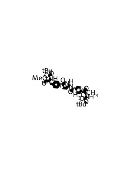 COC(=O)[C@@H](Cc1ccc(-n2ccc(NC(=O)N3CCN(C(=O)C(C)(C)NC(=O)OC(C)(C)C)CC3)nc2=O)cc1)NC(=O)OC(C)(C)C